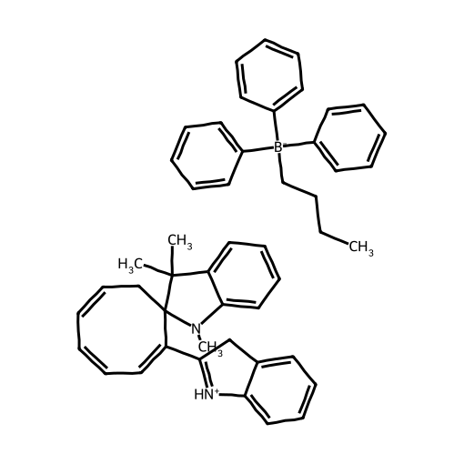 CCCC[B-](c1ccccc1)(c1ccccc1)c1ccccc1.CN1c2ccccc2C(C)(C)C12C\C=C/C=C\C=C/2C1=[NH+]c2ccccc2C1